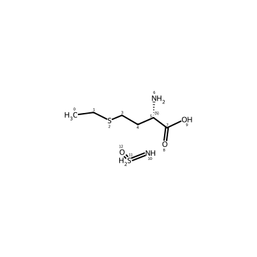 CCSCC[C@H](N)C(=O)O.N=[SH2]=O